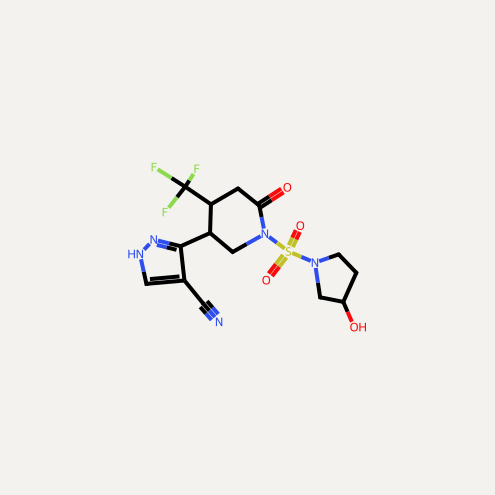 N#Cc1c[nH]nc1C1CN(S(=O)(=O)N2CCC(O)C2)C(=O)CC1C(F)(F)F